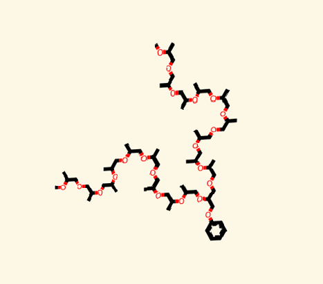 COC(C)COCC(C)OCC(C)OC(C)COC(C)COC(C)COCC(C)OCC(C)OC(C)COCC(COc1ccccc1)OCC(C)OC(C)COC(C)COCC(C)OCC(C)OCC(C)OC(C)COC(C)COCC(C)OC